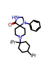 CC(C)C1CCC(C(C)C)(N2CCC3(CC2)C(=O)NCN3c2ccccc2)CC1